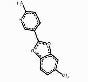 Cc1ccc2nc(-c3ccc(N)nc3)oc2c1